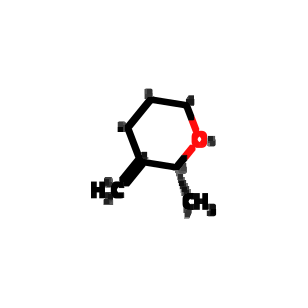 C=C1CCCO[C@@H]1C